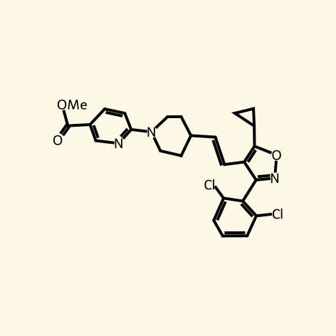 COC(=O)c1ccc(N2CCC(C=Cc3c(-c4c(Cl)cccc4Cl)noc3C3CC3)CC2)nc1